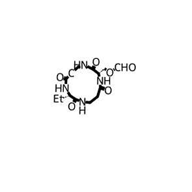 CC[C@@H]1NC(=O)CCNC(=O)[C@H](COC=O)NC(=O)CCNC1=O